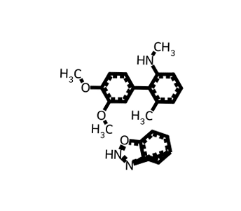 CNc1cccc(C)c1-c1ccc(OC)c(OC)c1.c1cc2cc3c1o[nH]n2-3